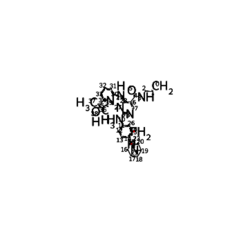 C=CCNC(=O)c1cnc(Nc2ccc(N3CC4CC(C3)N4CCP)cc2)nc1Nc1cccc(C(C)(C)O)n1